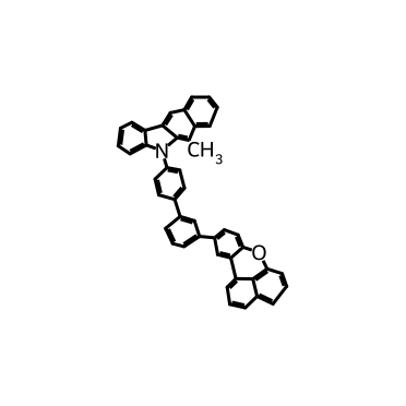 Cc1c2ccccc2cc2c3ccccc3n(-c3ccc(-c4cccc(-c5ccc6c(c5)-c5cccc7cccc(c57)O6)c4)cc3)c12